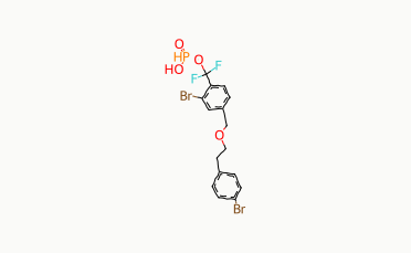 O=[PH](O)OC(F)(F)c1ccc(COCCc2ccc(Br)cc2)cc1Br